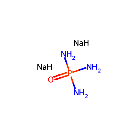 NP(N)(N)=O.[NaH].[NaH]